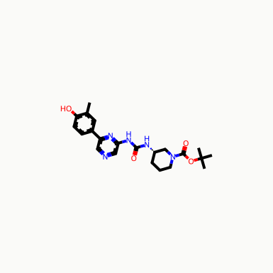 Cc1cc(-c2cncc(NC(=O)N[C@H]3CCCN(C(=O)OC(C)(C)C)C3)n2)ccc1O